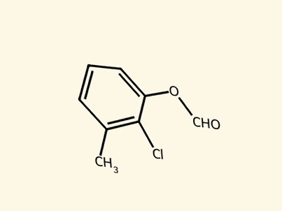 Cc1cccc(OC=O)c1Cl